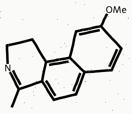 COc1ccc2ccc3c(c2c1)CCN=C3C